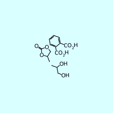 CC(O)CO.CC1COC(=O)O1.O=C(O)c1ccccc1C(=O)O